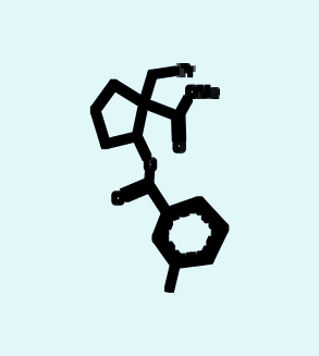 COC(=O)C1(CC(C)C)CCCC1OC(=O)c1cccc(C)c1